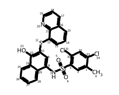 Cc1cc(S(=O)(=O)Nc2cc(Sc3cccc4cccnc34)c(O)c3ccccc23)c(Cl)cc1Cl